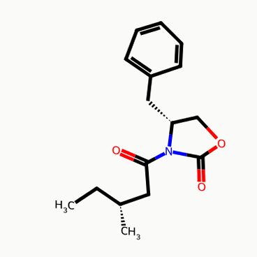 CC[C@@H](C)CC(=O)N1C(=O)OC[C@H]1Cc1ccccc1